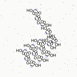 O=C(O)/C=C\C(=O)O.O=C(O)/C=C\C(=O)O.O=C(O)/C=C\C(=O)O.O=C(O)/C=C\C(=O)OC(=O)/C=C\C(=O)OC(=O)/C=C\C(=O)O.O=C(O)/C=C\C(=O)OC(=O)/C=C\C(=O)OC(=O)/C=C\C(=O)O.O=C(O)/C=C\C(=O)OC(=O)/C=C\C(=O)OC(=O)/C=C\C(=O)O.O=C(O)/C=C\C(=O)OC(=O)/C=C\C(=O)OC(=O)/C=C\C(=O)O